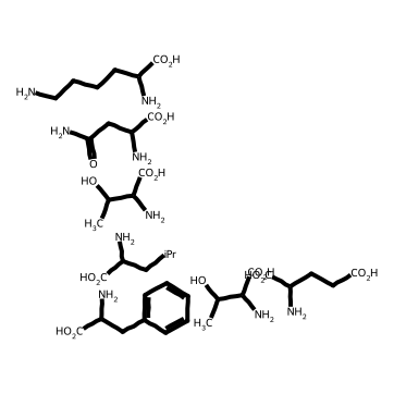 CC(C)CC(N)C(=O)O.CC(O)C(N)C(=O)O.CC(O)C(N)C(=O)O.NC(=O)CC(N)C(=O)O.NC(CCC(=O)O)C(=O)O.NC(Cc1ccccc1)C(=O)O.NCCCCC(N)C(=O)O